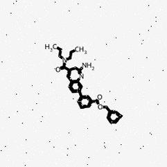 CCCN(CCC)C(=O)C1=Cc2ccc(-c3cccc(C(=O)OCc4ccccc4)c3)cc2N=C(N)C1